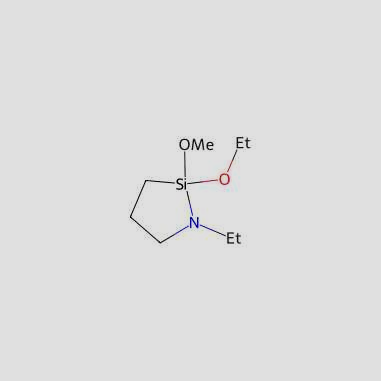 CCO[Si]1(OC)CCCN1CC